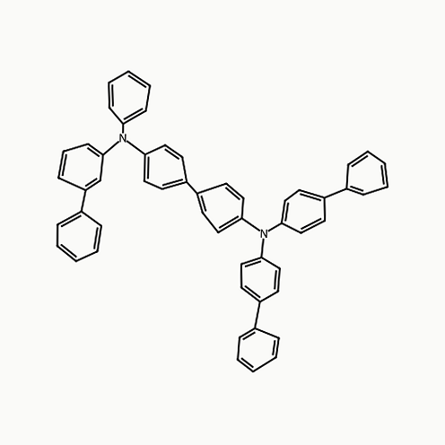 c1ccc(-c2ccc(N(c3ccc(-c4ccccc4)cc3)c3ccc(-c4ccc(N(c5ccccc5)c5cccc(-c6ccccc6)c5)cc4)cc3)cc2)cc1